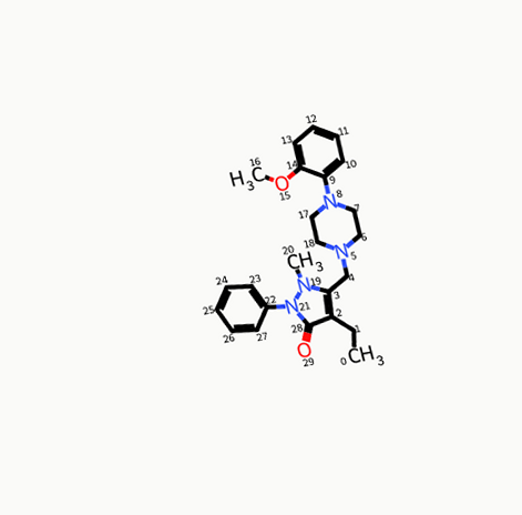 CCc1c(CN2CCN(c3ccccc3OC)CC2)n(C)n(-c2ccccc2)c1=O